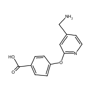 NCc1ccnc(Oc2ccc(C(=O)O)cc2)c1